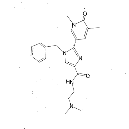 Cc1cc(-c2nc(C(=O)NCCN(C)C)cn2Cc2ccccc2)cn(C)c1=O